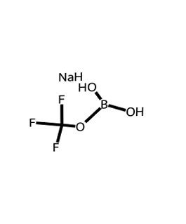 OB(O)OC(F)(F)F.[NaH]